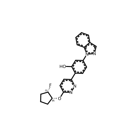 Oc1cc(-n2ncc3ccccc32)ccc1-c1ccc(O[C@@H]2CCC[C@@H]2F)nn1